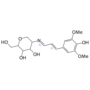 COc1cc(/C=C/C=N/C2COC(CO)C(O)C2O)cc(OC)c1O